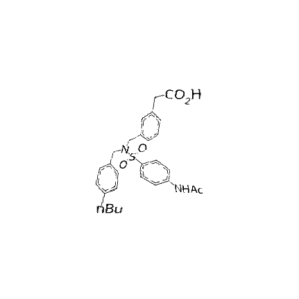 CCCCc1ccc(CN(Cc2cccc(CC(=O)O)c2)S(=O)(=O)c2ccc(NC(C)=O)cc2)cc1